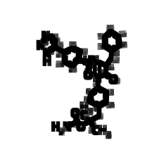 CC(C)(Cc1ccc(NC(=O)C(Cc2ccccc2)NC(=O)c2ccc(-c3nnn[nH]3)cc2)cc1)OC(N)=O